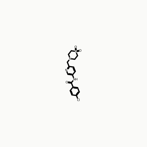 O=C(Nc1ccc(CN2CCS(=O)(=O)CC2)nc1)c1ccc(Cl)cc1